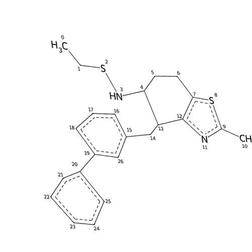 CCSNC1CCc2sc(C)nc2C1Cc1cccc(-c2ccccc2)c1